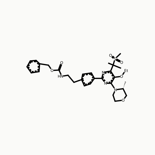 CCOc1c(N2CCOC[C@H]2C)nc(-c2ccc(CCNC(=O)OCc3ccccc3)cc2)nc1C(C)(C)S(C)(=O)=O